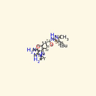 Cc1nc(NC(=O)Cc2ccc(-c3nn(C(C)C)c(N)c3C(N)=O)cc2)sc1CC(C)(C)C